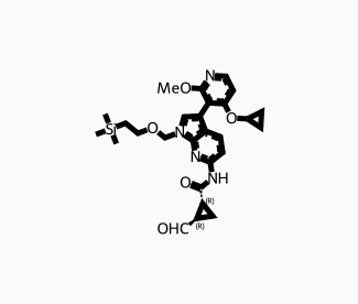 COc1nccc(OC2CC2)c1-c1cn(COCC[Si](C)(C)C)c2nc(NC(=O)[C@@H]3C[C@H]3C=O)ccc12